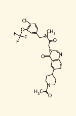 CC(=O)N1CCC(c2ccc3ncn(CC(=O)N(C)Cc4ccc(Cl)c(OC(F)(F)F)c4)c(=O)c3c2)CC1